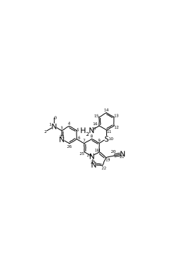 CN(C)c1ccc(-c2cc(Sc3ccccc3N)c3c(C#N)cnn3c2)cn1